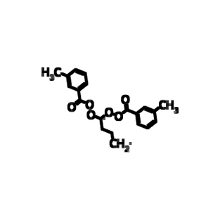 [CH2]CC[C](OOC(=O)c1cccc(C)c1)OOC(=O)c1cccc(C)c1